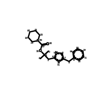 CC(C)(Cc1ncc(Cc2ccccc2)s1)OC(=O)N1CCCCC1